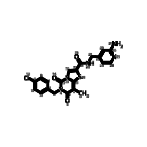 Cc1c(=O)n(Cc2ccc(Cl)cc2)c(=O)n2cc(C(=O)NCc3ccnc(N)c3)sc12